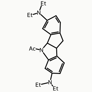 CCN(CC)c1ccc2c(c1)C1C(C2)c2ccc(N(CC)CC)cc2N1C(C)=O